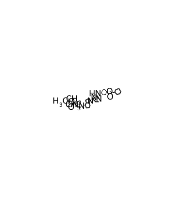 CC(C)(C)OC(=O)N1CCN(c2cccc3c2ccn3-c2ccnc(N[C@H]3CC[C@@H](OC(=O)c4ccccc4)CC3)n2)CC1